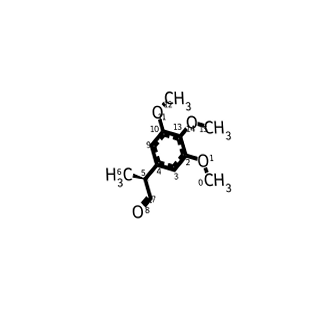 COc1cc([C@H](C)[C]=O)cc(OC)c1OC